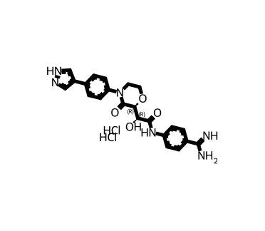 Cl.Cl.N=C(N)c1ccc(NC(=O)[C@H](O)[C@H]2OCCN(c3ccc(-c4cn[nH]c4)cc3)C2=O)cc1